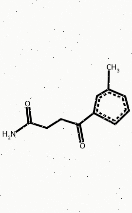 Cc1cccc(C(=O)CCC(N)=O)c1